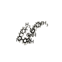 CC1CCN(Cc2cncc(-c3ccc4[nH]nc(C(=O)Nc5ccc(CN6CCN(C)CC6)nc5)c4c3)c2)CC1